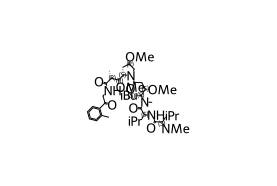 CC[C@H](C)[C@@H]([C@H](CC(=O)N1C[C@H](OC)C[C@H]1[C@H](OC)[C@@H](C)C(=O)NCC(=O)c1ccccc1C)OC)N(C)C(=O)[C@@H](NC(=O)[C@@H](NC)C(C)C)C(C)C